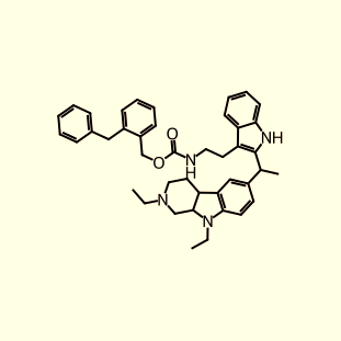 CCN1CCC2c3cc(C(C)c4[nH]c5ccccc5c4CCNC(=O)OCc4ccccc4Cc4ccccc4)ccc3N(CC)C2C1